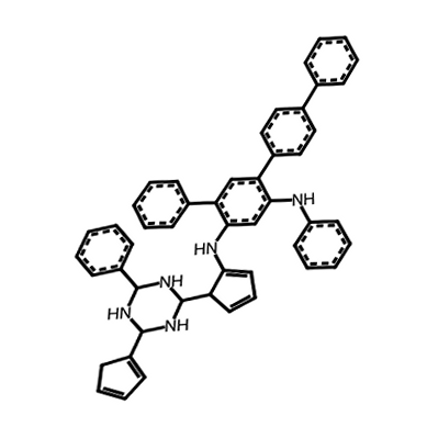 C1=CCC(C2NC(c3ccccc3)NC(C3C=CC=C3Nc3cc(Nc4ccccc4)c(-c4ccc(-c5ccccc5)cc4)cc3-c3ccccc3)N2)=C1